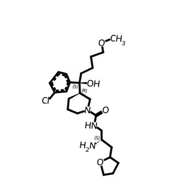 COCCCC[C@@](O)(c1cccc(Cl)c1)[C@@H]1CCCN(C(=O)NC[C@@H](N)CC2CCCO2)C1